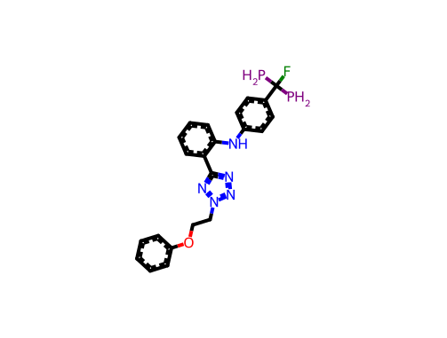 FC(P)(P)c1ccc(Nc2ccccc2-c2nnn(CCOc3ccccc3)n2)cc1